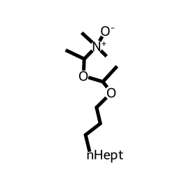 CCCCCCCCCCOC(C)OC(C)[N+](C)(C)[O-]